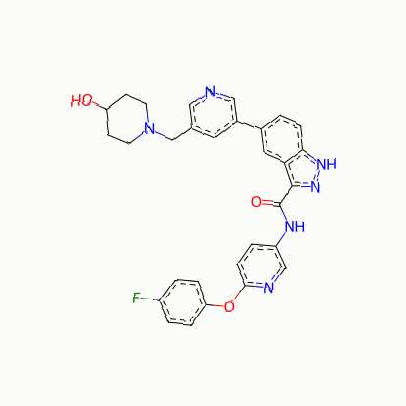 O=C(Nc1ccc(Oc2ccc(F)cc2)nc1)c1n[nH]c2ccc(-c3cncc(CN4CCC(O)CC4)c3)cc12